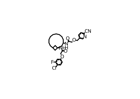 N#Cc1ccc(COCC(=O)NC2CCCCCCCCCC3CC(NC(=O)COc4ccc(Cl)c(F)c4)(C3)C2)cn1